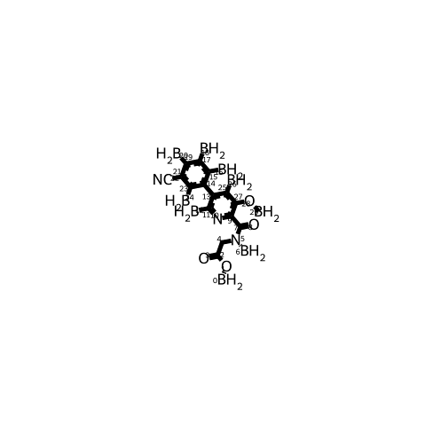 BOC(=O)CN(B)C(=O)c1nc(B)c(-c2c(B)c(B)c(B)c(C#N)c2B)c(B)c1OB